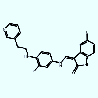 O=C1Nc2ccc(F)cc2C1=CNc1ccc(NCCc2cccnc2)c(F)c1